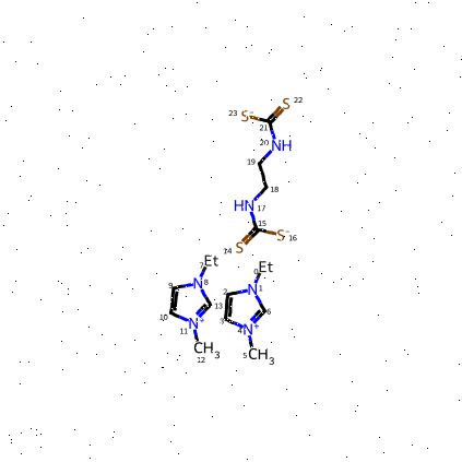 CCn1cc[n+](C)c1.CCn1cc[n+](C)c1.S=C([S-])NCCNC(=S)[S-]